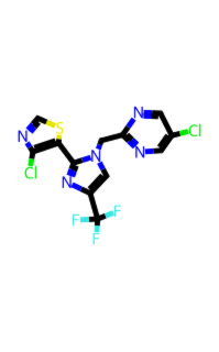 FC(F)(F)c1cn(Cc2ncc(Cl)cn2)c(-c2scnc2Cl)n1